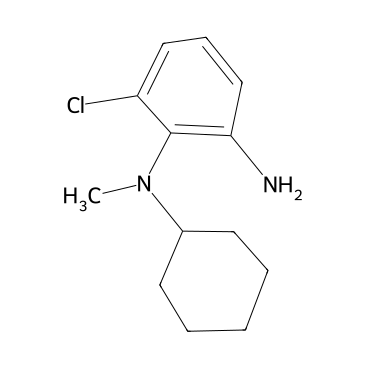 CN(c1c(N)cccc1Cl)C1CCCCC1